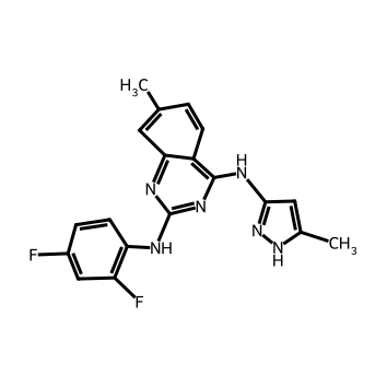 Cc1ccc2c(Nc3cc(C)[nH]n3)nc(Nc3ccc(F)cc3F)nc2c1